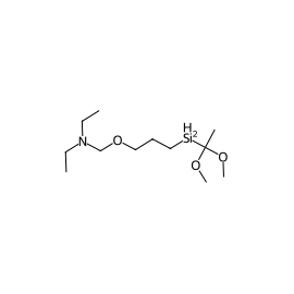 CCN(CC)COCCC[SiH2]C(C)(OC)OC